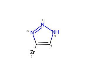 [Zr].[c]1c[nH]nn1